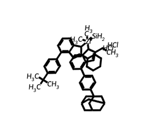 CCC1=Cc2c(-c3ccc(C45CC6CC(CC(C6)C4)C5)cc3)cccc2[CH]1[Zr]([CH3])([CH3])(=[SiH2])[CH]1C(C2CCCCC2)=Cc2c(-c3ccc(C(C)(C)C)cc3)cccc21.Cl.Cl